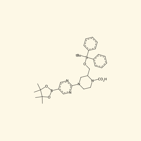 CC1(C)OB(c2cnc(N3CCN(C(=O)O)C(CO[Si](c4ccccc4)(c4ccccc4)C(C)(C)C)C3)nc2)OC1(C)C